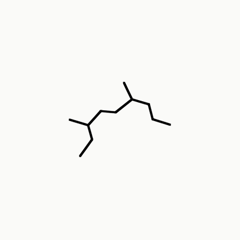 CCCC(C)CCC(C)CC